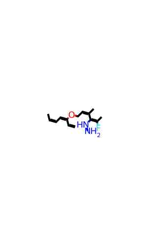 C=C/C(=C\C=C/C)OC/C=C(C)\C(NN)=C(/C)F